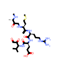 C=C(N[C@@H](CCCNC(N)N)C(=O)N[C@@H](CCC(=O)O)C(=O)N[C@H](C(=O)C=O)C(C)C)[C@H](CCSC)NCC(=O)[C@H](C)NC